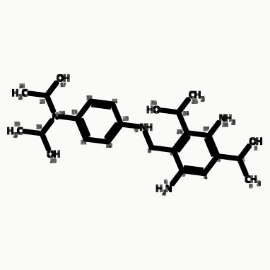 CC(O)c1cc(N)c(CNc2ccc(N(C(C)O)C(C)O)cc2)c(C(C)O)c1N